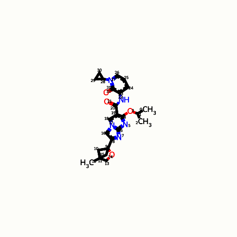 CC(C)Oc1nc2nc(C34CC(C)(CO3)C4)cn2cc1C(=O)Nc1cccn(C2CC2)c1=O